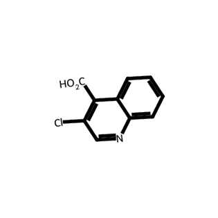 O=C(O)c1c(Cl)cnc2ccccc12